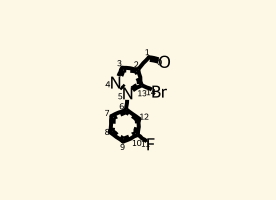 O=Cc1cnn(-c2cccc(F)c2)c1Br